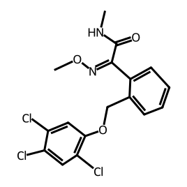 CNC(=O)C(=NOC)c1ccccc1COc1cc(Cl)c(Cl)cc1Cl